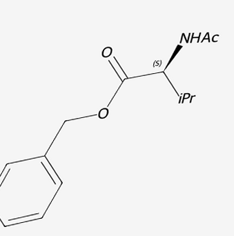 CC(=O)N[C@H](C(=O)OCc1ccccc1)C(C)C